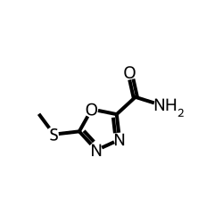 CSc1nnc(C(N)=O)o1